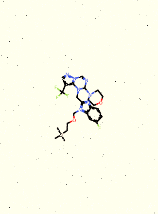 C[Si](C)(C)CCOCn1c(CN2c3c(C(F)(F)F)cnn3C=NC2N2CCOCC2)nc2ccc(F)cc21